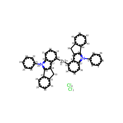 [Cl-].[Cl-].c1ccc(-n2c3c(c4[c]([Zr+2][c]5cccc6c5c5c(n6-c6ccccc6)-c6ccccc6C5)cccc42)Cc2ccccc2-3)cc1